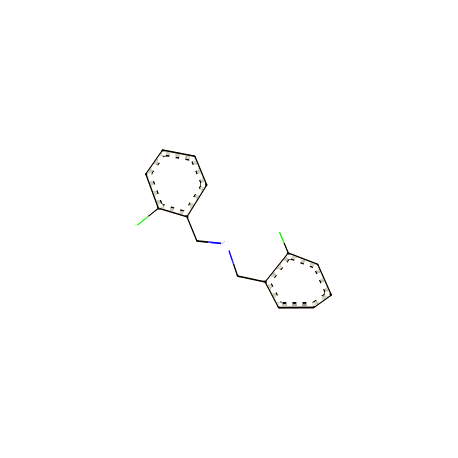 Clc1ccccc1CNCc1ccccc1Cl.I.I